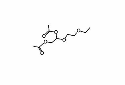 CCOCCOC(COC(C)=O)OC(C)=O